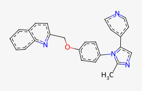 Cc1ncc(-c2ccncc2)n1-c1ccc(OCc2ccc3ccccc3n2)cc1